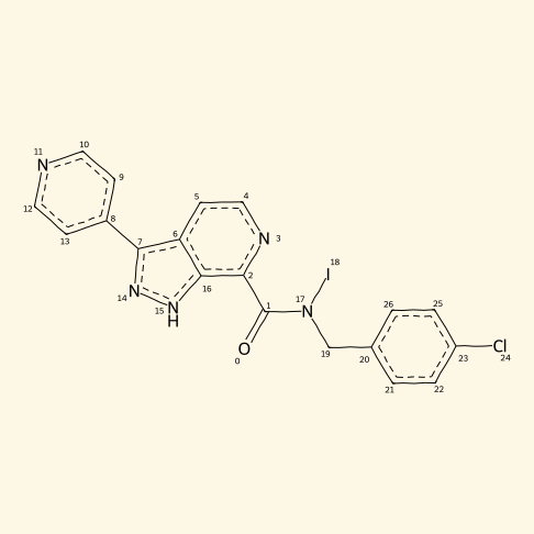 O=C(c1nccc2c(-c3ccncc3)n[nH]c12)N(I)Cc1ccc(Cl)cc1